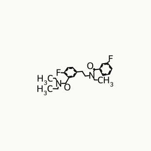 CCN(CCc1ccc(F)c(C(=O)N(CC)CC)c1)C(=O)c1cccc(F)c1